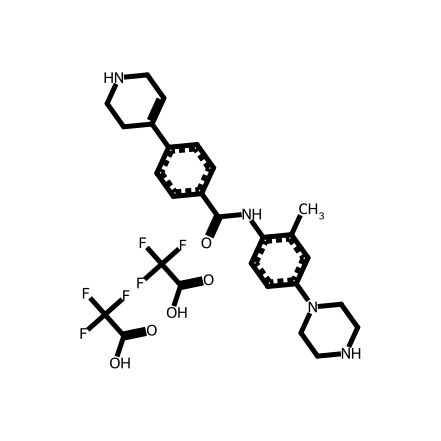 Cc1cc(N2CCNCC2)ccc1NC(=O)c1ccc(C2=CCNCC2)cc1.O=C(O)C(F)(F)F.O=C(O)C(F)(F)F